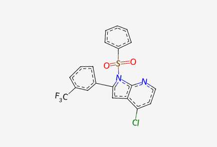 O=S(=O)(c1ccccc1)n1c(-c2cccc(C(F)(F)F)c2)cc2c(Cl)ccnc21